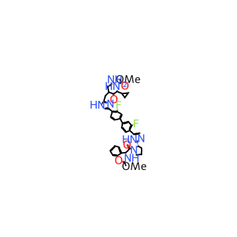 COC(=O)N[C@H](C(=O)C(CCN)Cc1nc(-c2ccc(-c3ccc(-c4cnc([C@@H]5CCCN5C(=O)[C@H](NC(=O)OC)c5ccccc5)[nH]4)c(F)c3)cc2F)c[nH]1)C1CC1